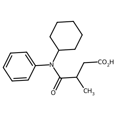 CC(CC(=O)O)C(=O)N(c1ccccc1)C1CCCCC1